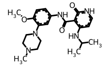 COc1ccc(NC(=O)c2c(NC(C)C)cc[nH]c2=O)cc1N1CCN(C)CC1